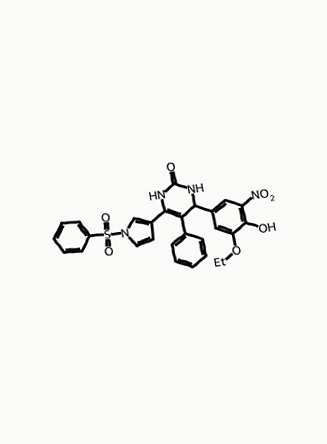 CCOc1cc(C2NC(=O)NC(c3ccn(S(=O)(=O)c4ccccc4)c3)=C2c2ccccc2)cc([N+](=O)[O-])c1O